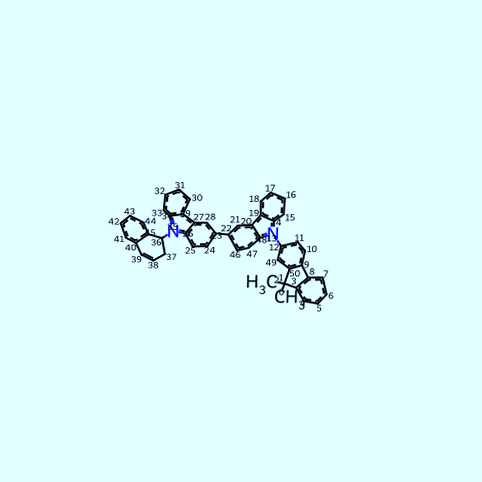 CC1(C)c2ccccc2-c2ccc(-n3c4ccccc4c4cc(-c5ccc6c(c5)c5ccccc5n6C5CC=Cc6ccccc65)ccc43)cc21